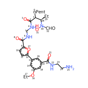 CCCCCC(C(=O)NCNC(=O)c1ccc(-c2cc(OCC)cc(C(=O)NCCN)c2)o1)[C@@H](CC)N(O)C=O